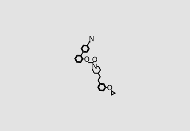 N#Cc1ccc(-c2ccccc2OCC(=O)N2CCC(CCc3cccc(OC4CC4)c3)CC2)cc1